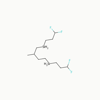 CC(CC[SiH2]CCC(F)F)C[SiH2]CCC(F)F